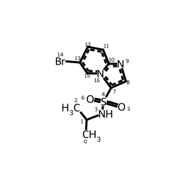 CC(C)NS(=O)(=O)c1cnc2ccc(Br)cn12